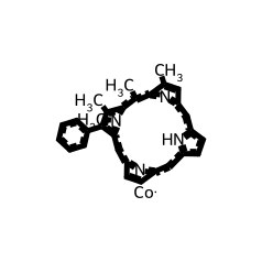 CC1=Cc2cc3ccc(cc4nc(cc5c(-c6ccccc6)c(C)c(c(C)c1n2)n5C)C=C4)[nH]3.[Co]